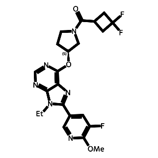 CCn1c(-c2cnc(OC)c(F)c2)nc2c(O[C@H]3CCN(C(=O)C4CC(F)(F)C4)C3)ncnc21